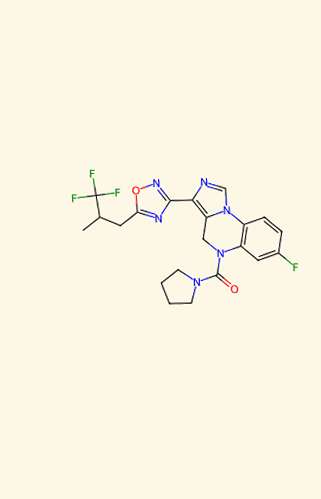 CC(Cc1nc(-c2ncn3c2CN(C(=O)N2CCCC2)c2cc(F)ccc2-3)no1)C(F)(F)F